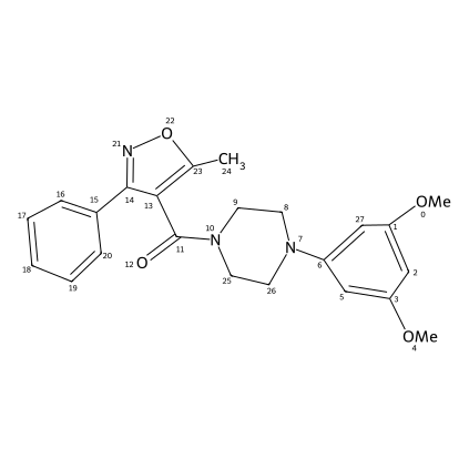 COc1cc(OC)cc(N2CCN(C(=O)c3c(-c4ccccc4)noc3C)CC2)c1